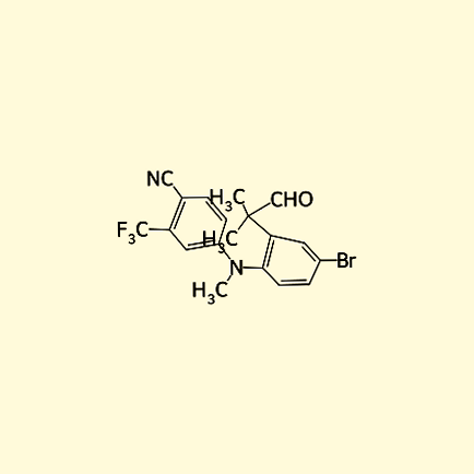 CN(c1ccc(C#N)c(C(F)(F)F)c1)c1ccc(Br)cc1C(C)(C)C=O